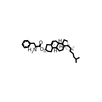 CC(C)CCC[C@@H](C)[C@H]1CC[C@H]2[C@@H]3CC=C4C[C@@H](OC(=O)[C@@H](N)Cc5ccccc5)CC[C@]4(C)[C@H]3CC[C@]12C